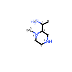 CC(N)C1CNCCN1C(C)C